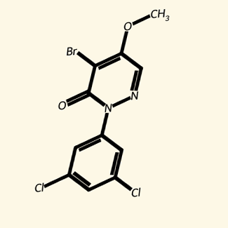 COc1cnn(-c2cc(Cl)cc(Cl)c2)c(=O)c1Br